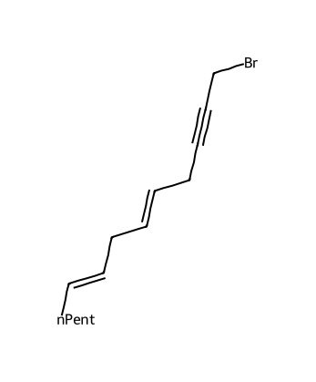 CCCCCC=CCC=CCC#CCBr